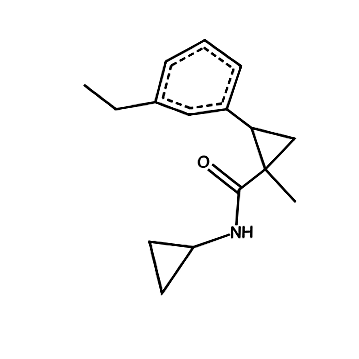 CCc1cccc(C2CC2(C)C(=O)NC2CC2)c1